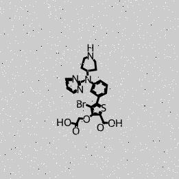 O=C(O)COc1c(C(=O)O)sc(-c2cccc(N(c3ncccn3)C3CCNCC3)c2)c1Br